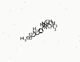 COC(=O)CC(N)Cc1ccc(-c2nnn(C(C)(C)C)n2)cc1